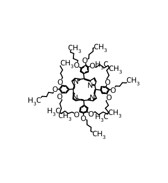 CCCCCOc1cc(C2=C3C=CC(=N3)C(c3cc(OCCCCC)c(OCCCCC)c(OCCCCC)c3)=C3C=CC(=N3)C(c3cc(OCCCCC)c(OCCCCC)c(OCCCCC)c3)=C3C=CC(=N3)C(c3cc(OCCCCC)c(OCCCCC)c(OCCCCC)c3)=C3C=CC2=N3)cc(OCCCCC)c1OCCCCC